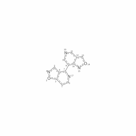 c1cc2oncc2c(-c2cncc3conc23)n1